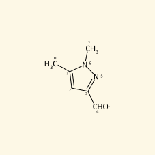 Cc1cc([C]=O)nn1C